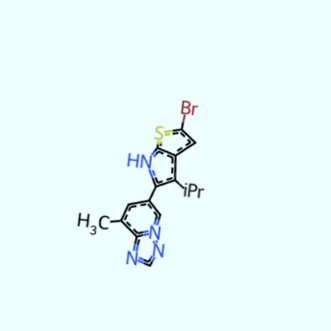 Cc1cc(-c2[nH]c3sc(Br)cc3c2C(C)C)cn2ncnc12